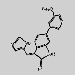 COc1cccc(-c2ccc3c(c2)NC(=O)C3=Cc2cnc[nH]2)c1